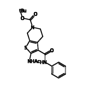 CC(=O)Nc1sc2c(c1C(=O)Nc1ccccc1)CCN(C(=O)OC(C)(C)C)C2